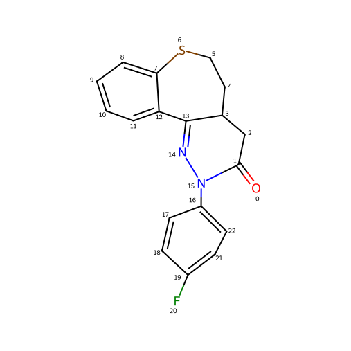 O=C1CC2CCSc3ccccc3C2=NN1c1ccc(F)cc1